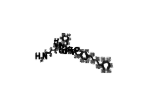 NCCCC[C@H](N)C(=O)N[C@@H](Cc1ccccc1)C(=O)ONC(=O)Cc1ccc(CCCCc2ccccc2)cc1